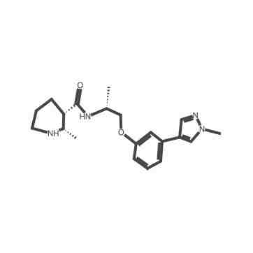 C[C@H](COc1c[c]cc(-c2cnn(C)c2)c1)NC(=O)[C@H]1CCCN[C@H]1C